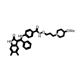 COC1CCN(CCCONC(=O)c2ccc(N/C(=C3\C(=O)Nc4cc(C)c(C)cc43)c3ccccc3)cc2)CC1